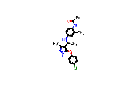 Cc1cc(NC(C)c2c(C)n[nH]c2Oc2ccc(Cl)cc2)ccc1NC(=O)C(C)(C)C